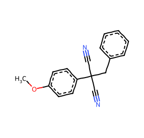 COc1ccc(C(C#N)(C#N)Cc2ccccc2)cc1